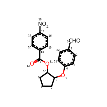 O=Cc1ccc(OC2CCCC2OC(=O)c2ccc([N+](=O)[O-])cc2)cc1